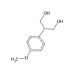 COc1ccc(C(CO)CO)cc1